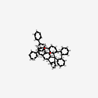 c1ccc(-c2nc(-c3cccnc3)cc(-c3ccc4c(c3)C3(c5ccccc5-c5ccccc5-4)c4ccccc4-c4cc5ccccc5cc43)n2)cc1